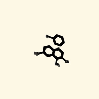 Brc1ccccc1.N#Cc1cnc2ccc(N)cc2c1N